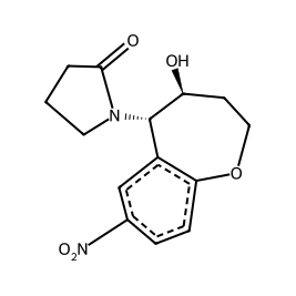 O=C1CCCN1[C@H]1c2cc([N+](=O)[O-])ccc2OCC[C@@H]1O